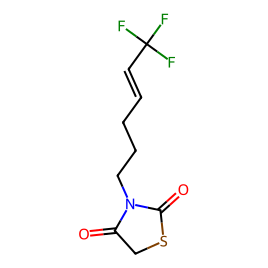 O=C1CSC(=O)N1CCC/C=C/C(F)(F)F